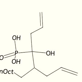 C=CCC(CCCCCCCCC)C(O)(CC=C)P(=O)(O)O